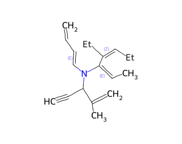 C#CC(C(=C)C)N(/C=C/C=C)C(=C/C)/C(=C\CC)CC